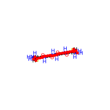 N=C1N[C@H]2CSC(CCCCC(=O)NCCCCCC(=O)NCCNC(=O)CCCCCNC(=O)CCCCC3SC[C@@H]4NC(=N)N[C@H]34)[C@H]2N1